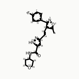 Cc1onc(-c2ccc(F)cc2)c1/C=C/c1cc(C(=O)NC2CCOCC2)[nH]n1